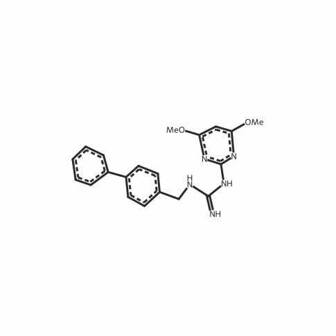 COc1cc(OC)nc(NC(=N)NCc2ccc(-c3ccccc3)cc2)n1